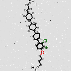 CCCCCOc1ccc(C2=CCC(C3CCC(C4CCC(CCCC)CC4)CC3)CC2)c(Cl)c1F